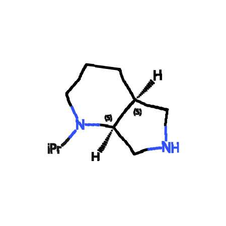 CC(C)N1CCC[C@H]2CNC[C@H]21